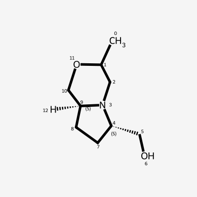 CC1CN2[C@H](CO)CC[C@H]2CO1